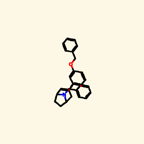 C1=C(c2cccc(OCc3ccccc3)c2)CC2CCC1N2Cc1ccccc1